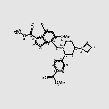 COC(=O)c1ccc([C@@H]2CC(N3CCC3)CCN2Cc2c(OC)cc(C)c3c2ccn3C(=O)OC(C)(C)C)cc1